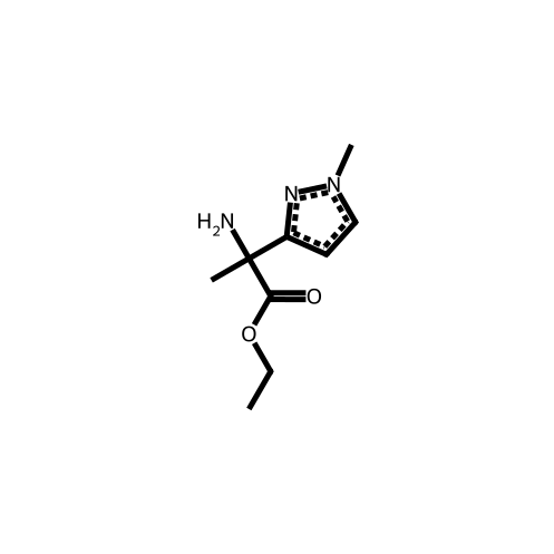 CCOC(=O)C(C)(N)c1ccn(C)n1